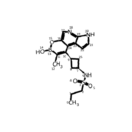 CCCS(=O)(=O)N[C@H]1C[C@@H](C2=C(C)B(O)Oc3cnc4[nH]ccc4c32)C1